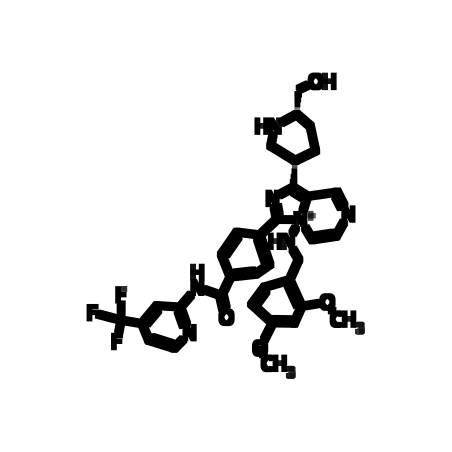 COc1ccc(CN[N+]23C=CN=CC2=C([C@H]2CC[C@@H](CO)NC2)N=C3c2ccc(C(=O)Nc3cc(C(F)(F)F)ccn3)cc2)c(OC)c1